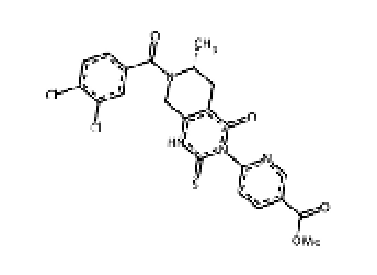 COC(=O)c1ccc(-n2c(=S)[nH]c3c(c2=O)C[C@@H](C)N(C(=O)c2ccc(Cl)c(Cl)c2)C3)nc1